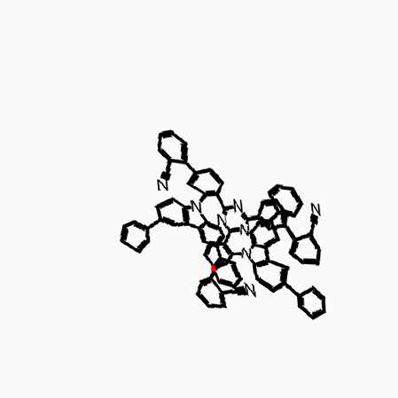 N#Cc1ccccc1-c1cccc(-c2nc(-c3ccc(-c4ccccc4C#N)cc3-n3c4ccc(-c5ccccc5)cc4c4cc(-c5ccccc5)ccc43)nc(-c3ccc(-c4ccccc4C#N)cc3-n3c4ccc(-c5ccccc5)cc4c4cc(-c5ccccc5)ccc43)n2)c1